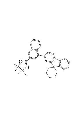 CC1(C)OB(c2cc(-c3ccc4c(c3)C3(CCCCC3)c3ccccc3-4)c3ccccc3c2)OC1(C)C